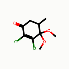 COC1(OC)C(Cl)=C(Cl)C(=O)CC1C